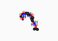 CC(C)[C@H](NC(=O)OC(C)(C)C)C(=O)N[C@@H](C)C(=O)Nc1ccc2c(c1)[C@@]1(C)CCC[C@](C)(C(=O)NC(=O)[C@@]3(C)CCC[C@]4(C)c5cc(NC(=O)CNC(=O)OCC6c7ccccc7-c7ccccc76)ccc5CC[C@@H]34)[C@@H]1CC2